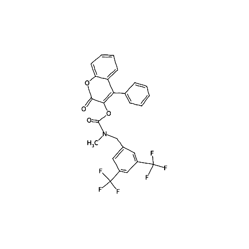 CN(Cc1cc(C(F)(F)F)cc(C(F)(F)F)c1)C(=O)Oc1c(-c2ccccc2)c2ccccc2oc1=O